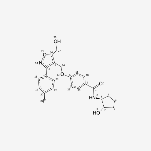 O=C(N[C@H]1CCC[C@@H]1O)c1ccc(OCc2c(-c3ccc(F)cc3)noc2CO)nc1